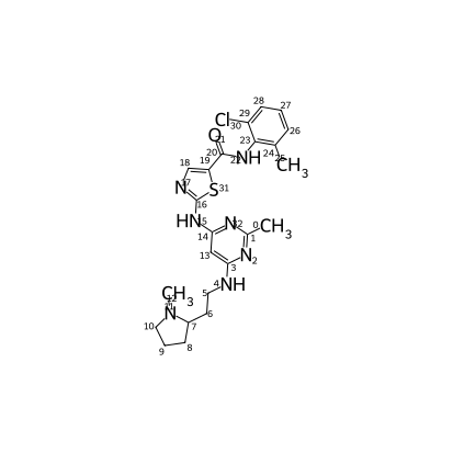 Cc1nc(NCCC2CCCN2C)cc(Nc2ncc(C(=O)Nc3c(C)cccc3Cl)s2)n1